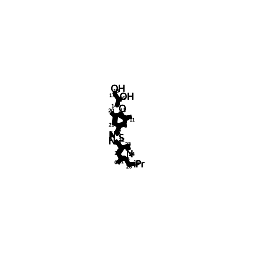 Cc1cc(-c2nnc(-c3cc(C)c(OCC(O)CO)c(C)c3)s2)cnc1CC(C)C